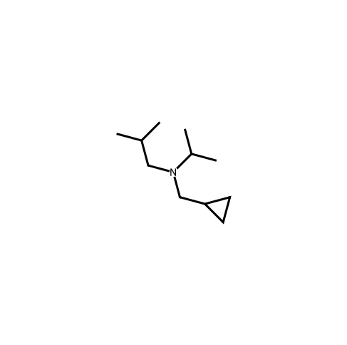 CC(C)CN(CC1CC1)C(C)C